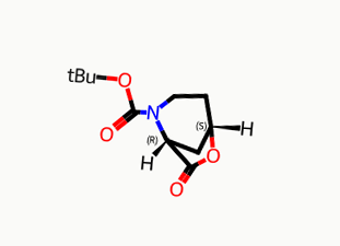 CC(C)(C)OC(=O)N1CC[C@H]2C[C@@H]1C(=O)O2